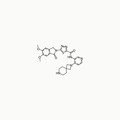 COc1cc2c(cc1OC)C(=O)N(c1nnc(C(=O)Nc3cnccc3N3CC4(CCNCC4)C3)s1)C2